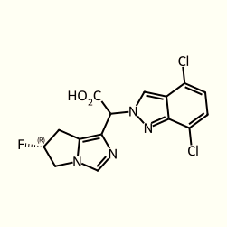 O=C(O)C(c1ncn2c1C[C@@H](F)C2)n1cc2c(Cl)ccc(Cl)c2n1